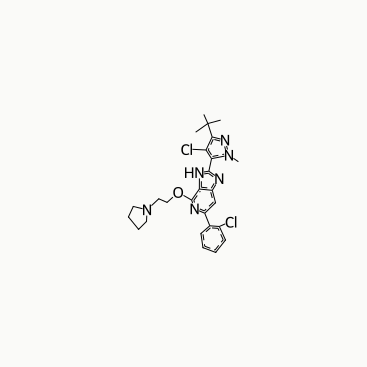 Cn1nc(C(C)(C)C)c(Cl)c1-c1nc2cc(-c3ccccc3Cl)nc(OCCN3CCCC3)c2[nH]1